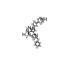 Nc1ncnc2c1c(-c1nc(Cc3ccccc3)cs1)cn2C1CCC(C2CCNCC2)C1